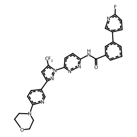 O=C(Nc1ccc(-n2nc(-c3ccc(N4CCOCC4)nc3)cc2C(F)(F)F)nn1)c1cccc(-c2ccc(F)nc2)c1